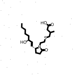 CCCCC[C@H](O)C=C[C@H]1CCC(=O)N1CCSCC(C)CC(=O)O